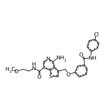 COCCNC(=O)c1cnc(N)c2c(COc3cccc(C(=O)Nc4ccc(Cl)cc4)c3)csc12